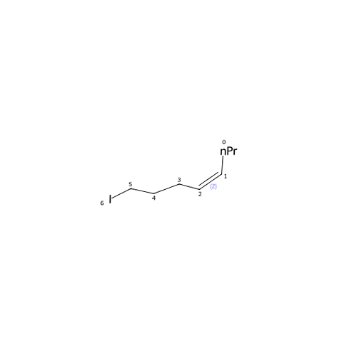 CCC/C=C\CCCI